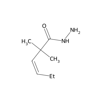 CC/C=C\C(C)(C)C(=O)NN